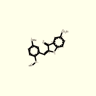 CCCOc1ccc(OC)cc1C=C1Oc2ccc(C(=O)OCC)cc2C1=O